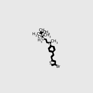 CN(CCO[Si](C)(C)C(C)(C)C)c1ccc(C=Cc2cc(Br)cs2)cc1